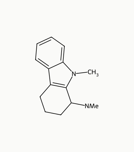 CNC1CCCc2c1n(C)c1ccccc21